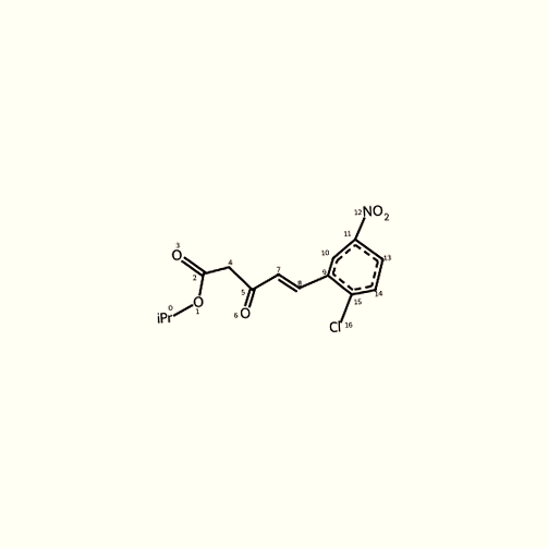 CC(C)OC(=O)CC(=O)C=Cc1cc([N+](=O)[O-])ccc1Cl